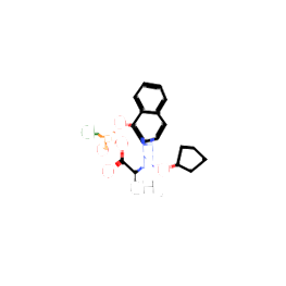 C[C@H](NOC1CCCC1)C(=O)OP(=O)(Cl)Oc1cccc2ccccc12